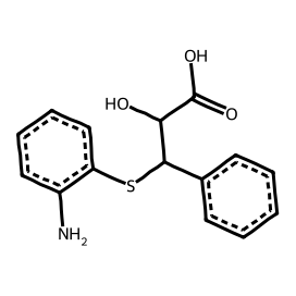 Nc1ccccc1SC(c1ccccc1)C(O)C(=O)O